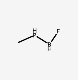 CPBF